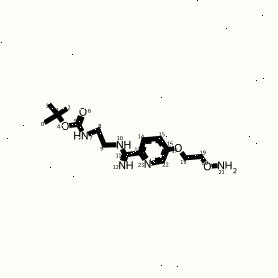 CC(C)(C)OC(=O)NCCNC(=N)c1ccc(OCCON)cn1